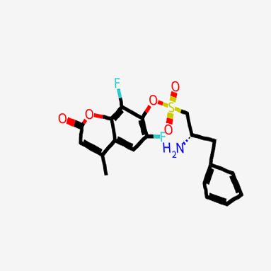 Cc1cc(=O)oc2c(F)c(OS(=O)(=O)C[C@@H](N)Cc3ccccc3)c(F)cc12